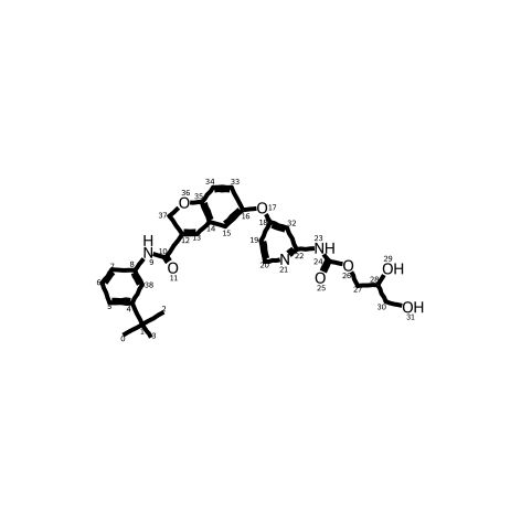 CC(C)(C)c1cccc(NC(=O)C2=Cc3cc(Oc4ccnc(NC(=O)OCC(O)CO)c4)ccc3OC2)c1